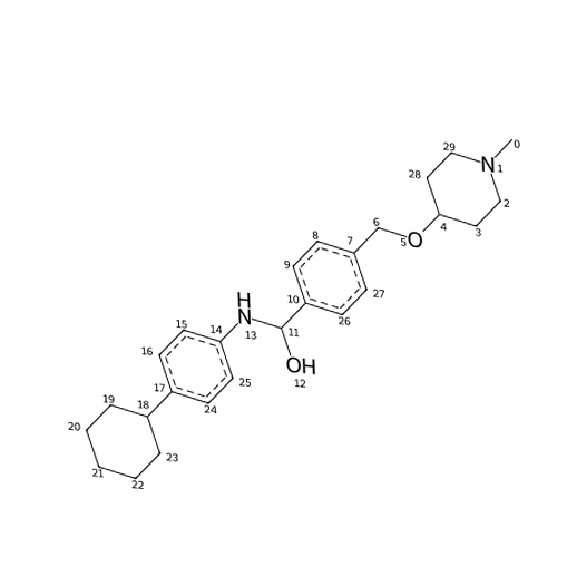 CN1CCC(OCc2ccc(C(O)Nc3ccc(C4CCCCC4)cc3)cc2)CC1